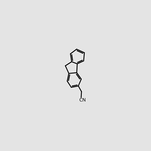 N#CCc1ccc2c(c1)-c1ccccc1C2